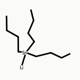 [Li][Sn]([CH2]CCC)([CH2]CCC)[CH2]CCC